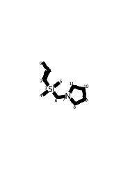 CC=C[Si](C)(C)CN1CCCC1